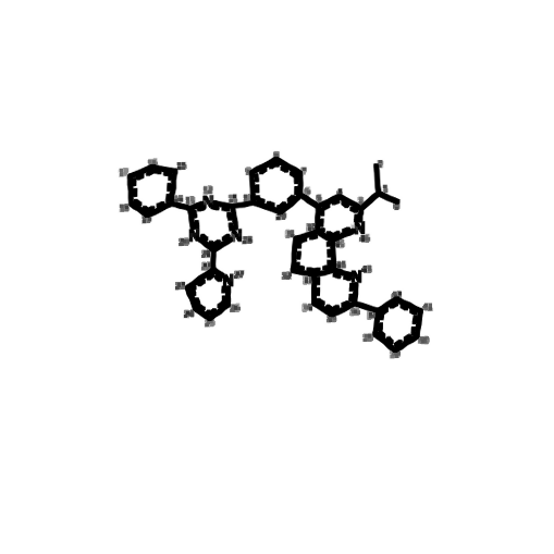 CC(C)c1cc(-c2cccc(-c3nc(-c4ccccc4)nc(-c4ccccn4)n3)c2)c2ccc3ccc(-c4ccccc4)nc3c2n1